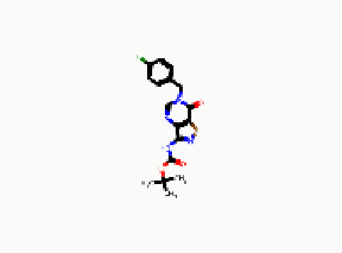 CC(C)(C)OC(=O)Nc1nsc2c(=O)n(Cc3ccc(F)cc3)cnc12